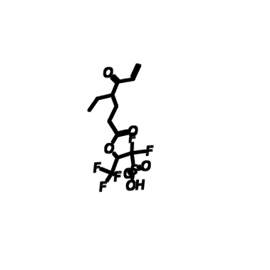 C=CC(=O)C(CC)CCC(=O)OC(C(F)(F)F)C(F)(F)S(=O)(=O)O